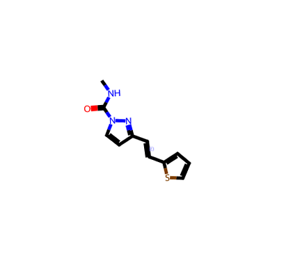 CNC(=O)n1ccc(/C=C/c2cccs2)n1